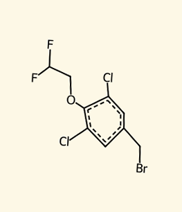 FC(F)COc1c(Cl)cc(CBr)cc1Cl